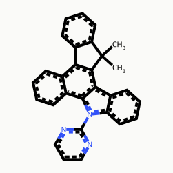 CC1(C)c2ccccc2-c2c1c1c3ccccc3n(-c3ncccn3)c1c1ccccc21